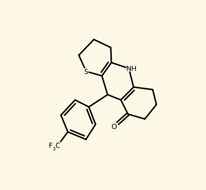 O=C1CCCC2=C1C(c1ccc(C(F)(F)F)cc1)C1=C(CCCS1)N2